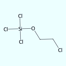 ClCCO[Si](Cl)(Cl)Cl